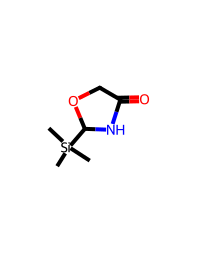 C[Si](C)(C)C1NC(=O)CO1